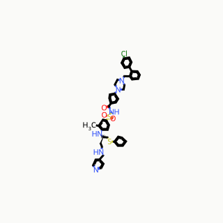 Cc1cc(S(=O)(=O)NC(=O)c2ccc(N3CCN(Cc4ccccc4-c4ccc(Cl)cc4)CC3)cc2)ccc1N[C@H](CCNCc1ccncc1)CSc1ccccc1